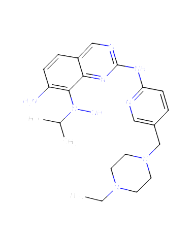 CCN1CCN(Cc2ccc(Nc3ncc4ccc(N)c(N(N)C(C)C)c4n3)nc2)CC1